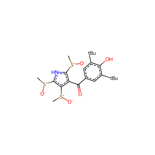 C[S+]([O-])c1[nH]c([S+](C)[O-])c([S+](C)[O-])c1C(=O)c1cc(C(C)(C)C)c(O)c(C(C)(C)C)c1